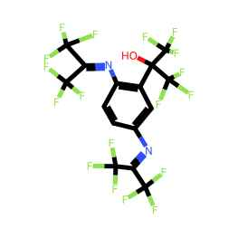 OC(c1cc(N=C(C(F)(F)F)C(F)(F)F)ccc1N=C(C(F)(F)F)C(F)(F)F)(C(F)(F)F)C(F)(F)F